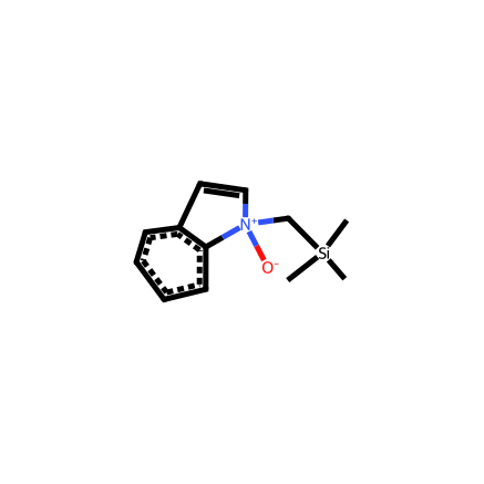 C[Si](C)(C)C[N+]1([O-])C=Cc2ccccc21